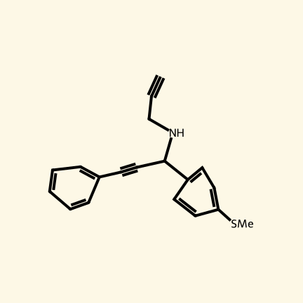 C#CCNC(C#Cc1ccccc1)c1ccc(SC)cc1